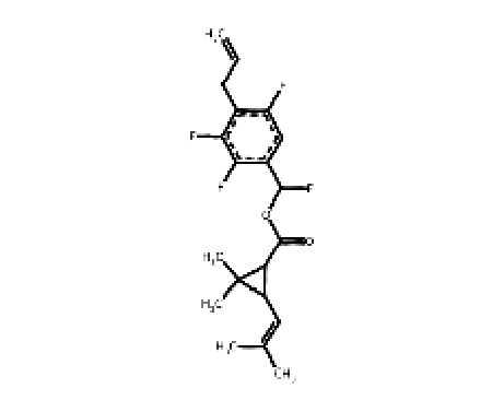 C=CCc1c(F)cc(C(F)OC(=O)C2C(C=C(C)C)C2(C)C)c(F)c1F